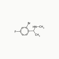 CNC(C)c1ccc(F)cc1Br